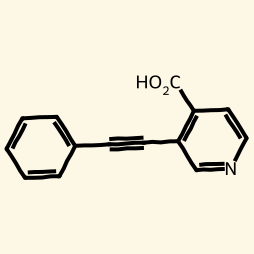 O=C(O)c1ccncc1C#Cc1ccccc1